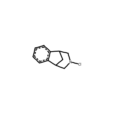 ClN1CC2CC(C1)c1ccccc12